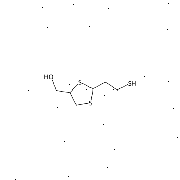 OCC1CSC(CCS)S1